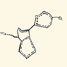 CCc1coc(C2=CC(O)c3ccccc32)c1